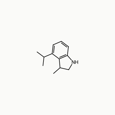 CC(C)c1cccc2c1C(C)CN2